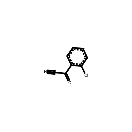 N#CC(=O)c1cc[c]cc1Cl